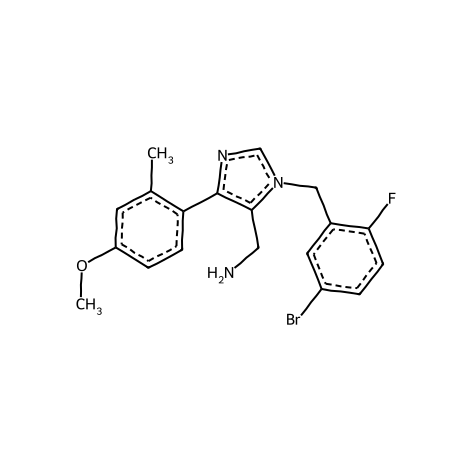 COc1ccc(-c2ncn(Cc3cc(Br)ccc3F)c2CN)c(C)c1